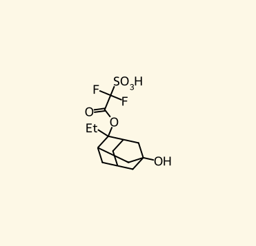 CCC1(OC(=O)C(F)(F)S(=O)(=O)O)C2CC3CC1CC(O)(C3)C2